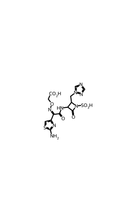 Nc1nc(/C(=N/OCC(=O)O)C(=O)NC2C(=O)N(S(=O)(=O)O)C2Cn2cncn2)cs1